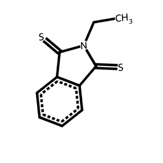 CCN1C(=S)c2ccccc2C1=S